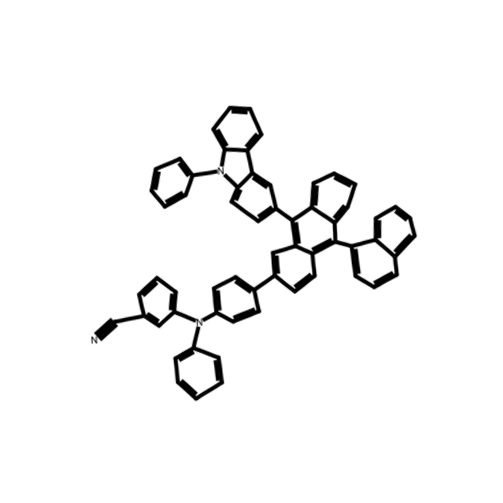 N#Cc1cccc(N(c2ccccc2)c2ccc(-c3ccc4c(-c5cccc6ccccc56)c5ccccc5c(-c5ccc6c(c5)c5ccccc5n6-c5ccccc5)c4c3)cc2)c1